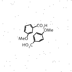 COc1ccc(C(=O)O)cc1.COc1cccc(C(=O)O)c1